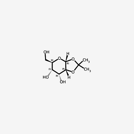 CC1(C)O[C@H]2O[C@H](CO)[C@@H](O)[C@@H](O)[C@H]2O1